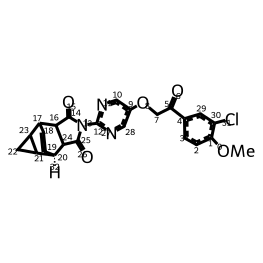 COc1ccc(C(=O)COc2cnc(N3C(=O)C4C5C=C[C@H](C6CC56)C4C3=O)nc2)cc1Cl